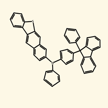 c1ccc(N(c2ccc(C3(c4ccccc4)c4ccccc4-c4ccccc43)cc2)c2ccc3cc4c(cc3c2)sc2ccccc24)cc1